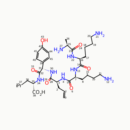 C=CC[C@H](NC(=O)[C@H](CCCCN)NC(=O)[C@H](CCCCN)NC(=O)[C@H](C)N)C(=O)N[C@H](C(=O)N[C@@H](CC(C)C)C(=O)O)c1ccc(O)cc1